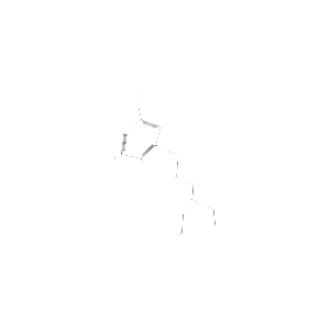 CCN(CC)CCOc1cccc(I)c1